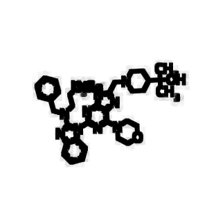 COCCN(Cc1ccccc1)c1nc2ccccc2n1-c1nc(N2CCOCC2)c2nc(CN3CCC(C(C)(C)O)CC3)n(C)c2n1